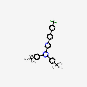 CC(C)(C)c1ccc(-c2nc(-c3ccc(C(C)(C)C)cc3)nc(-c3ccc(-c4ccc(-c5ccc(C(F)(F)F)cc5)cc4)nc3)n2)cc1